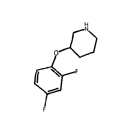 Fc1ccc(OC2[CH]CCNC2)c(F)c1